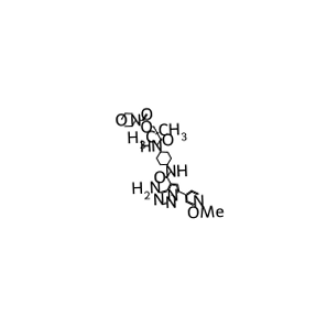 COc1cc(-c2cc(C(=O)N[C@H]3CC[C@H](NC(=O)C(C)(C)COC(=O)N4CCOCC4)CC3)c3c(N)ncnn23)ccn1